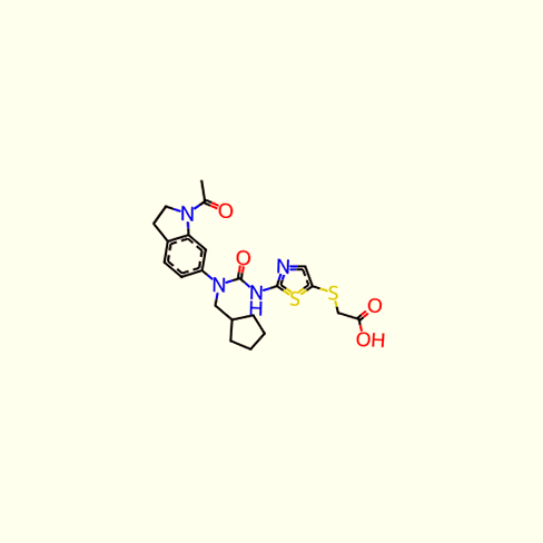 CC(=O)N1CCc2ccc(N(CC3CCCC3)C(=O)Nc3ncc(SCC(=O)O)s3)cc21